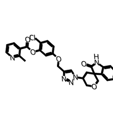 Cc1ncccc1C(=O)Oc1cc(OCc2cn(C3COCC4(C3)C(=O)Nc3ccccc34)nn2)ccc1Cl